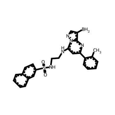 Bc1cnn2c(NCCNS(=O)(=O)c3ccc4ccccc4c3)cc(-c3ccccc3C)nc12